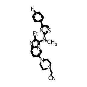 CCc1nc2ccc(N3CCN(CC#N)CC3)cn2c1N(C)c1nc(-c2ccc(F)cc2)cs1